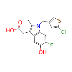 Cc1c(CC(=O)O)c2cc(O)c(F)cc2n1Cc1csc(Cl)c1